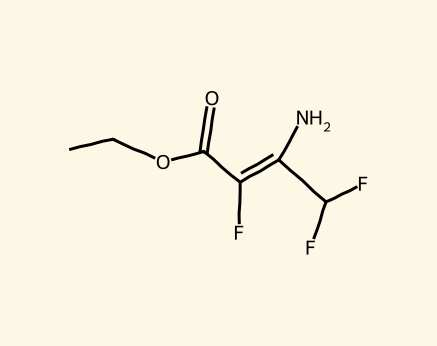 CCOC(=O)C(F)=C(N)C(F)F